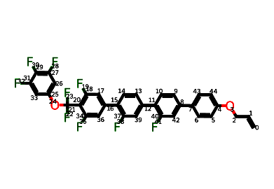 C=CCOc1ccc(-c2ccc(-c3ccc(-c4cc(F)c(C(F)(F)Oc5cc(F)c(F)c(F)c5)c(F)c4)c(F)c3)c(F)c2)cc1